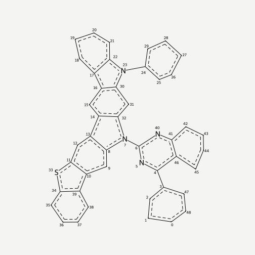 c1ccc(-c2nc(-n3c4cc5c(cc4c4cc6c7ccccc7n(-c7ccccc7)c6cc43)sc3ccccc35)nc3ccccc23)cc1